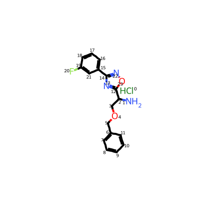 Cl.NC(COCc1ccccc1)c1nc(-c2cccc(F)c2)no1